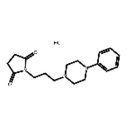 Cl.O=C1CCC(=O)N1CCCN1CCN(c2ccccc2)CC1